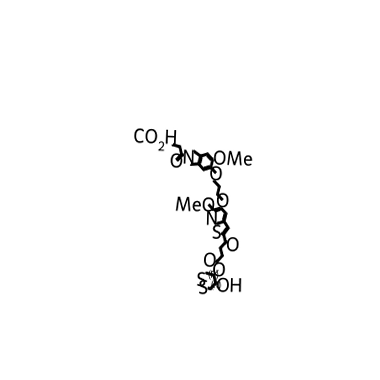 COc1cc2c(cc1OCCCOc1cc3cc(C(=O)CCC(=O)O[C@H]4CSSC[C@@H]4O)sc3nc1OC)CN(C(=O)CCC(=O)O)C2